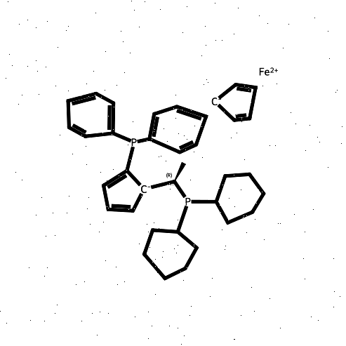 C[C@H]([c-]1cccc1P(c1ccccc1)c1ccccc1)P(C1CCCCC1)C1CCCCC1.[Fe+2].c1cc[cH-]c1